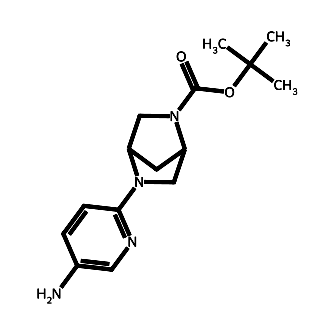 CC(C)(C)OC(=O)N1CC2CC1CN2c1ccc(N)cn1